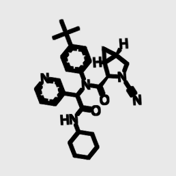 CC(C)(C)c1ccc(N(C(=O)[C@H]2[C@@H]3C[C@@H]3CN2C#N)C(C(=O)NC2CCCCC2)c2cccnc2)cc1